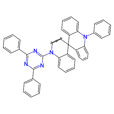 c1ccc(-c2nc(-c3ccccc3)nc(N3c4ccccc4C4(c5ccccc5N(c5ccccc5)c5ccccc54)c4ccccc43)n2)cc1